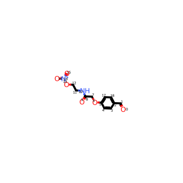 O=Cc1ccc(OCC(=O)NCCO[N+](=O)[O-])cc1